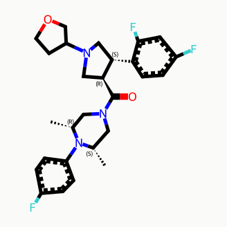 C[C@@H]1CN(C(=O)[C@H]2CN(C3CCOC3)C[C@@H]2c2ccc(F)cc2F)C[C@H](C)N1c1ccc(F)cc1